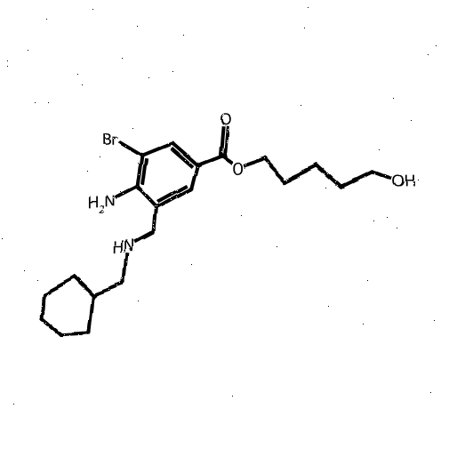 Nc1c(Br)cc(C(=O)OCCCCCO)cc1CNCC1CCCCC1